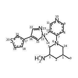 CC1CC(N)CN(c2ccncc2[N+]2(C)C=C(c3ccsc3)C=N2)C1